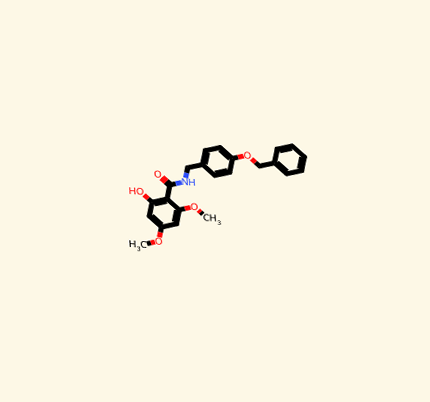 COc1cc(O)c(C(=O)NCc2ccc(OCc3ccccc3)cc2)c(OC)c1